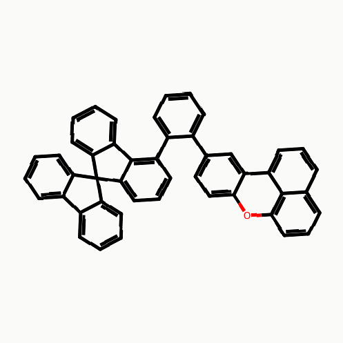 c1ccc(-c2cccc3c2-c2ccccc2C32c3ccccc3-c3ccccc32)c(-c2ccc3c(c2)-c2cccc4cccc(c24)O3)c1